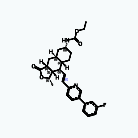 CCOC(=O)N[C@@H]1CC[C@H]2[C@H](C1)C[C@H]1C(=O)O[C@@H](C)[C@H]1[C@@H]2/C=C/c1ccc(-c2cccc(F)c2)cn1